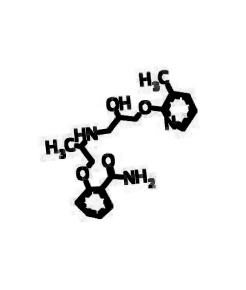 Cc1cccnc1OCC(O)CNC(C)COc1ccccc1C(N)=O